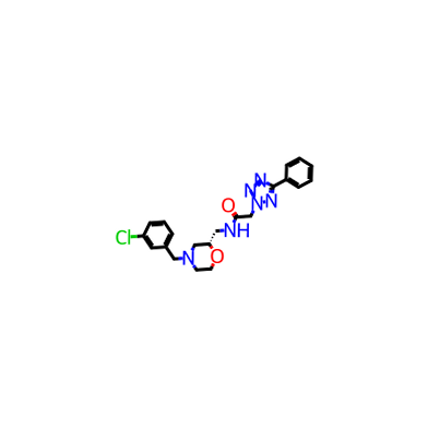 O=C(Cn1nnc(-c2ccccc2)n1)NC[C@H]1CN(Cc2cccc(Cl)c2)CCO1